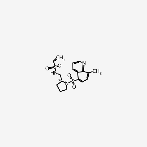 C=CS(=O)(=O)NC[C@@H]1CCCN1S(=O)(=O)c1ccc(C)c2ncccc12